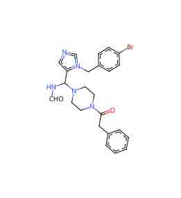 O=CNC(c1cncn1Cc1ccc(Br)cc1)N1CCN(C(=O)Cc2ccccc2)CC1